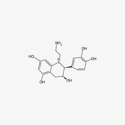 NCC[SH]1c2cc(O)cc(O)c2C[C@H](O)[C@@H]1c1ccc(O)c(O)c1